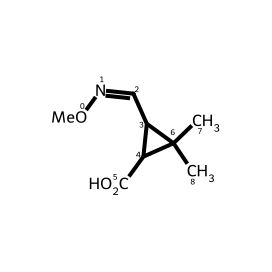 CO/N=C\C1C(C(=O)O)C1(C)C